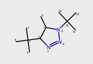 CC1C(C(C)(C)C)N=NN1C(C)(C)C